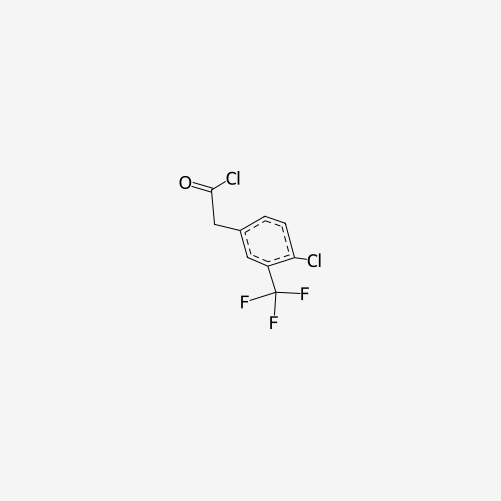 O=C(Cl)Cc1ccc(Cl)c(C(F)(F)F)c1